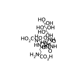 NC(CCC(=O)NC(CS)C(=O)NCC(=O)O)C(=O)O.O=c1[nH]c(=O)c2[nH]c(=O)[nH]c2[nH]1.OCC(O)C(O)C(O)C(O)CO